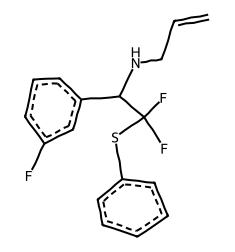 C=CCNC(c1cccc(F)c1)C(F)(F)Sc1ccccc1